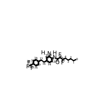 CCCCC[C@@H](F)[C@@H](F)C(=O)Nc1ccc(CCc2ccc(C(F)(F)F)cc2)cc1N